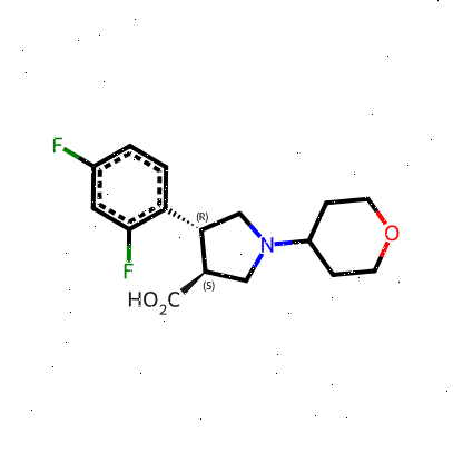 O=C(O)[C@@H]1CN(C2CCOCC2)C[C@H]1c1ccc(F)cc1F